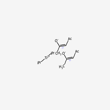 CC(=O)/C=C(/C)[O-].CC(=O)/C=C(/C)[O-].C[CH](C)[Ti+2][CH](C)C